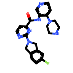 O=C(Nc1cnccc1N1CCNCC1)c1ccnc(N2Cc3ccc(F)cc3C2)n1